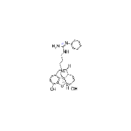 N/C(=N/c1ccccc1)NCCCN1CC[C@]23c4c5ccc(O)c4O[C@H]2[C@@H](O)C=CC3[C@H]1C5